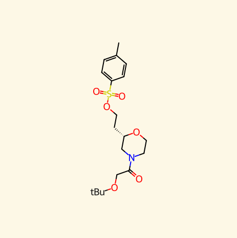 Cc1ccc(S(=O)(=O)OCC[C@H]2CN(C(=O)COC(C)(C)C)CCO2)cc1